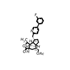 CC(=O)OC[C@H]1C[C@H]2C(=O)O[C@H](C)[C@H]2[C@H]2[C@H](Cc3ccc(-c4cccc(F)c4)cn3)CC[C@H]12